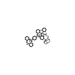 CC12c3ccccc3-c3cccc(c31)N(c1ccc(N3c4ccccc4Sc4ccccc43)cc1)c1ccc(C34CC5CC(CC(C5)C3)C4)cc12